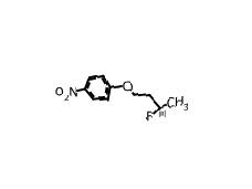 C[C@@H](F)CCOc1ccc([N+](=O)[O-])cc1